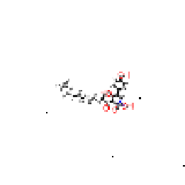 CCC(C)CC(C)/C=C(C)/C=C/C=C/C=C(\C)C(=O)c1c(O)c(-c2ccc(O)cc2)cn(O)c1=O